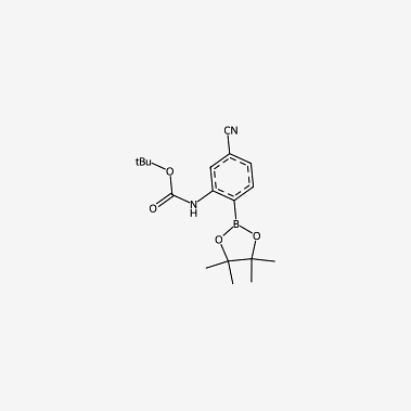 CC(C)(C)OC(=O)Nc1cc(C#N)ccc1B1OC(C)(C)C(C)(C)O1